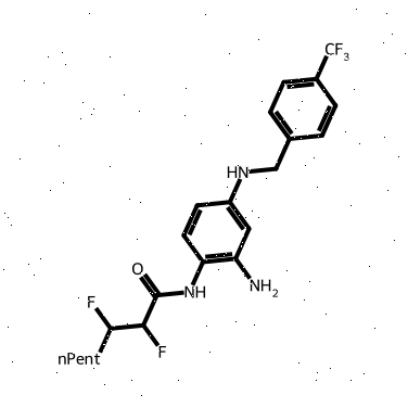 CCCCCC(F)C(F)C(=O)Nc1ccc(NCc2ccc(C(F)(F)F)cc2)cc1N